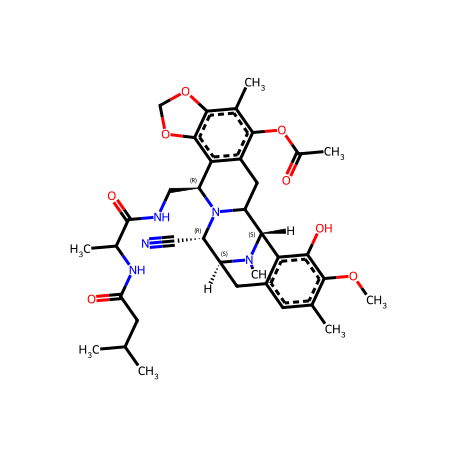 COc1c(C)cc2c(c1O)[C@H]1C3Cc4c(OC(C)=O)c(C)c5c(c4[C@H](CNC(=O)C(C)NC(=O)CC(C)C)N3[C@@H](C#N)[C@H](C2)N1C)OCO5